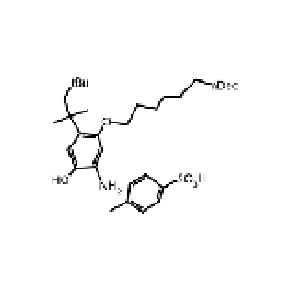 CCCCCCCCCCCCCCCCOc1cc(N)c(O)cc1C(C)(C)CC(C)(C)C.Cc1ccc(S(=O)(=O)O)cc1